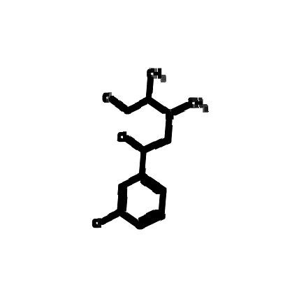 CC(CCl)N(C)CC(Cl)c1cccc(Cl)c1